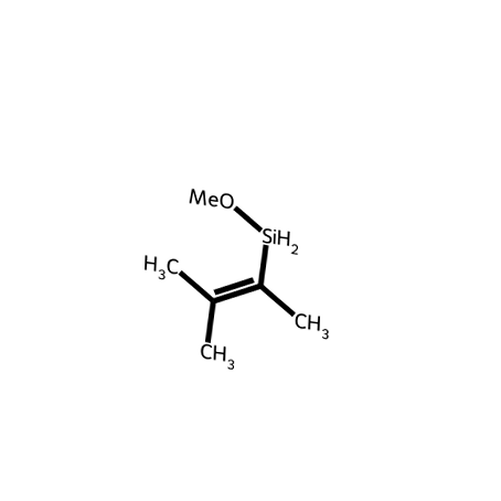 CO[SiH2]C(C)=C(C)C